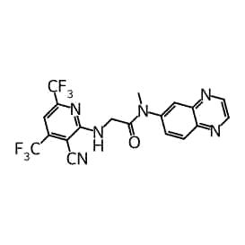 CN(C(=O)CNc1nc(C(F)(F)F)cc(C(F)(F)F)c1C#N)c1ccc2nccnc2c1